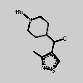 Cc1nscc1C(Cl)C1CCN(C(C)(C)C)CC1